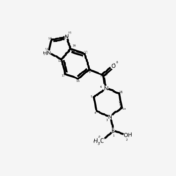 CB(O)N1CCN(C(=O)c2ccc3[nH]cnc3c2)CC1